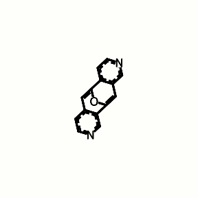 C1=C2OC(=Cc3cnccc32)c2cnccc21